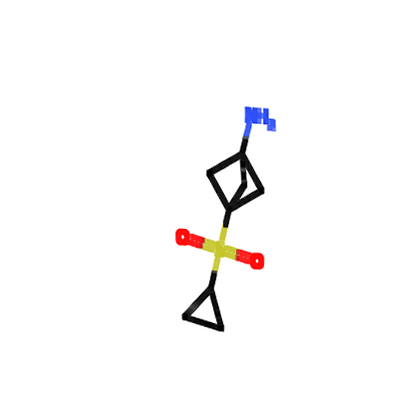 NC12CC(S(=O)(=O)C3CC3)(C1)C2